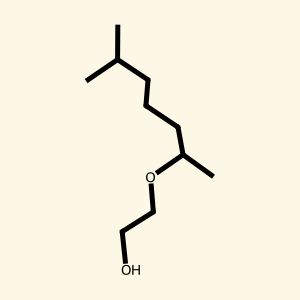 CC(C)CCCC(C)OCCO